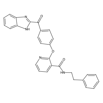 O=C(c1ccc(Oc2ncccc2C(=O)NCCc2ccccc2)cc1)c1nc2ccccc2[nH]1